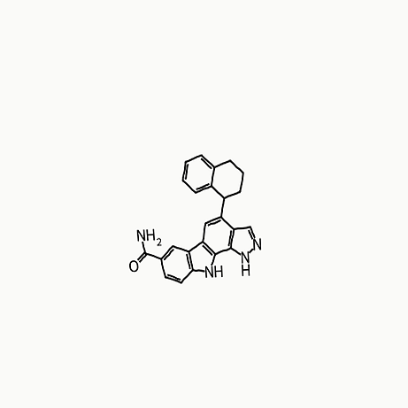 NC(=O)c1ccc2[nH]c3c(cc(C4CCCc5ccccc54)c4cn[nH]c43)c2c1